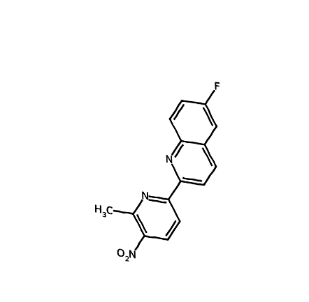 Cc1nc(-c2ccc3cc(F)ccc3n2)ccc1[N+](=O)[O-]